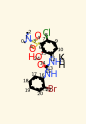 CN(C)S(=O)(=O)c1c(Cl)ccc(NC(=O)Nc2ccccc2Br)c1O.[KH]